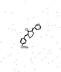 COc1ccc(/C=C2\CCC/C(=C\c3cccnc3)C2=O)cc1